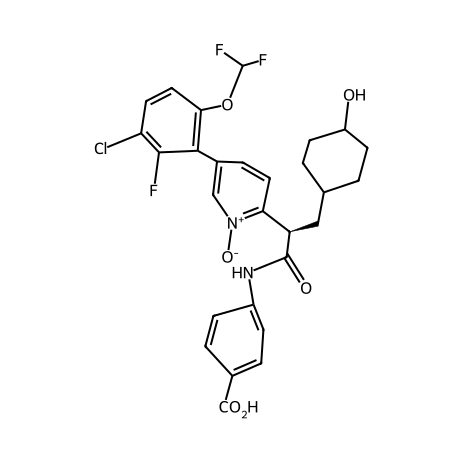 O=C(O)c1ccc(NC(=O)[C@H](CC2CCC(O)CC2)c2ccc(-c3c(OC(F)F)ccc(Cl)c3F)c[n+]2[O-])cc1